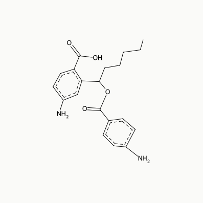 CCCCCC(OC(=O)c1ccc(N)cc1)c1cc(N)ccc1C(=O)O